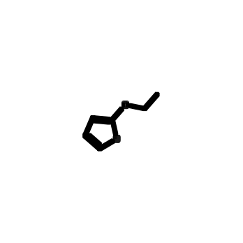 CCOc1ccco1